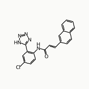 O=C(C=Cc1ccc2ccccc2c1)Nc1ccc(Cl)cc1-c1nnn[nH]1